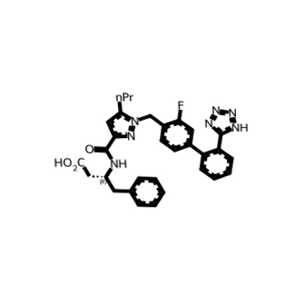 CCCc1cc(C(=O)N[C@@H](CC(=O)O)Cc2ccccc2)nn1Cc1ccc(-c2ccccc2-c2nnn[nH]2)cc1F